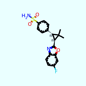 CC1(C)[C@@H](c2ccc(S(N)(=O)=O)cc2)[C@@H]1c1nc2ccc(F)cc2o1